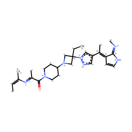 C/C=C(\N=C(/C)C(=O)N1CCC(N2CC(CC#N)(n3cc(/C(C)=C4\C=CN\C4=N\C)cn3)C2)CC1)C(F)(F)F